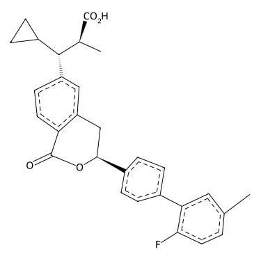 Cc1ccc(F)c(-c2ccc([C@@H]3Cc4cc([C@H](C5CC5)[C@H](C)C(=O)O)ccc4C(=O)O3)cc2)c1